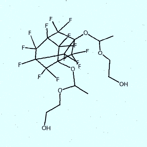 CC(OCCO)OC12C(F)(F)C3(F)C(F)(F)C(F)(C1(F)F)C(F)(F)C(OC(C)OCCO)(C3(F)F)C2(F)F